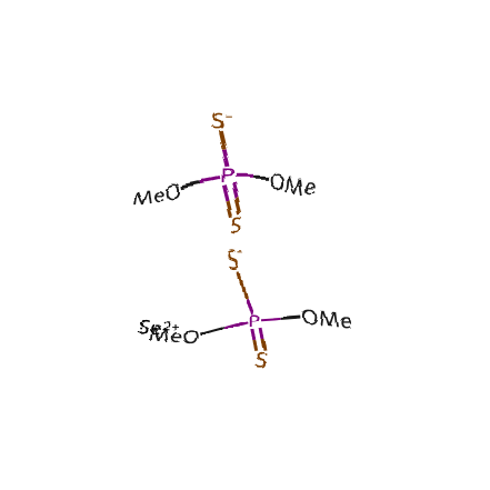 COP(=S)([S-])OC.COP(=S)([S-])OC.[Se+2]